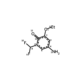 CCOc1cc(N)cn(C(F)F)c1=O